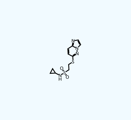 O=S(=O)(CCSc1ccc2nccn2n1)NC1CC1